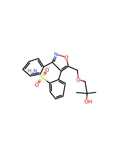 CC(C)(O)COCc1onc(-c2ccccc2)c1-c1ccccc1S(N)(=O)=O